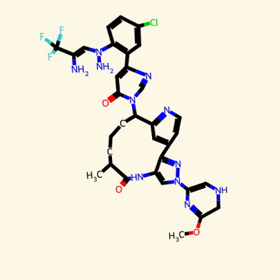 COC1=NC(n2cc3c(n2)-c2ccnc(c2)C(n2cnc(-c4cc(Cl)ccc4N(N)/C=C(\N)C(F)(F)F)cc2=O)CCCC(C)C(=O)N3)=CNC1